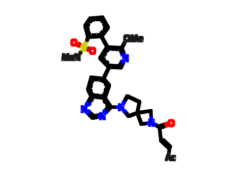 CNS(=O)(=O)c1ccccc1-c1cc(-c2ccc3ncnc(N4CCC5(CN(C(=O)C=CC(C)=O)C5)C4)c3c2)cnc1OC